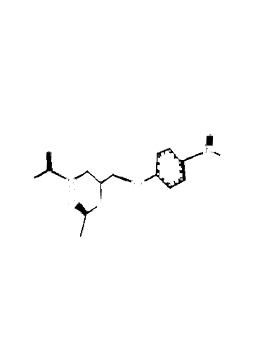 CC(=O)NCC(COc1ccc([N+](=O)[O-])cc1)OC(C)=O